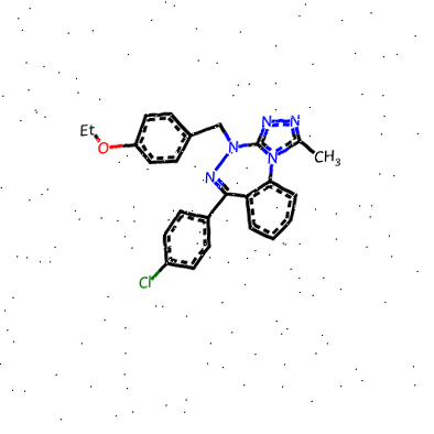 CCOc1ccc(CN2N=C(c3ccc(Cl)cc3)c3ccccc3-n3c(C)nnc32)cc1